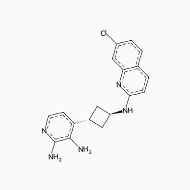 Nc1nccc([C@H]2C[C@H](Nc3ccc4ccc(Cl)cc4n3)C2)c1N